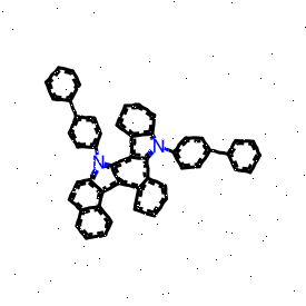 c1ccc(-c2ccc(-n3c4ccccc4c4c3c3ccccc3c3c5c6ccccc6ccc5n(-c5ccc(-c6ccccc6)cc5)c34)cc2)cc1